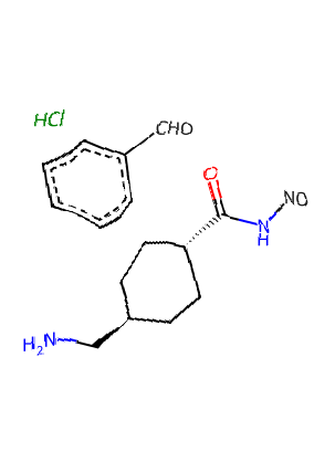 Cl.NC[C@H]1CC[C@H](C(=O)NN=O)CC1.O=Cc1ccccc1